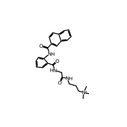 C[N+](C)(C)CCCNC(=O)CNC(=O)c1ccccc1NC(=O)c1ccc2ccccc2c1